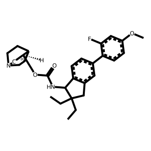 CCC1(CC)Cc2cc(-c3ccc(OC)cc3F)ccc2C1NC(=O)O[C@H]1CN2CCC1CC2